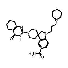 NC(=O)c1ccc2c(c1)C1(CCN(c3nc4c(c(=O)[nH]3)CCCC4)CC1)CN2CCCN1CCCCC1